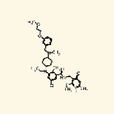 CCN(c1cc(Cl)cc(C(=O)NCc2c(OC)[nH]c(C)cc2=O)c1C)[C@H]1CC[C@H](N(C)Cc2cccc(OCCOC)c2)CC1